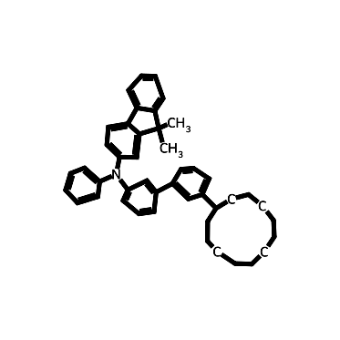 CC1(C)c2ccccc2-c2ccc(N(c3ccccc3)c3cccc(-c4cccc(C5CCCCCCCCCCC5)c4)c3)cc21